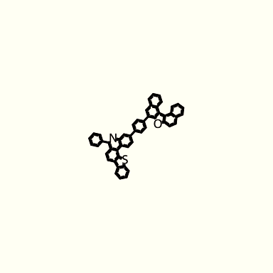 c1ccc(-c2nc3cc(-c4ccc(-c5cc6ccccc6c6c5oc5ccc7ccccc7c56)cc4)ccc3c3c2ccc2c4ccccc4sc23)cc1